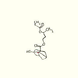 C=CC(=O)OC(C)CCOC(=O)C12CC3CC(CC(O)(C3)C1)C2